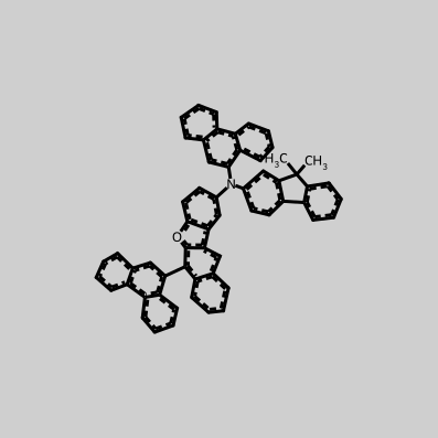 CC1(C)c2ccccc2-c2ccc(N(c3ccc4oc5c(-c6cc7ccccc7c7ccccc67)c6ccccc6cc5c4c3)c3cc4ccccc4c4ccccc34)cc21